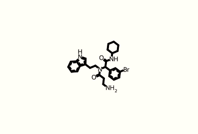 NCCC(=O)N(CCc1c[nH]c2ccccc12)C(C(=O)NC1CCCCC1)c1cccc(Br)c1